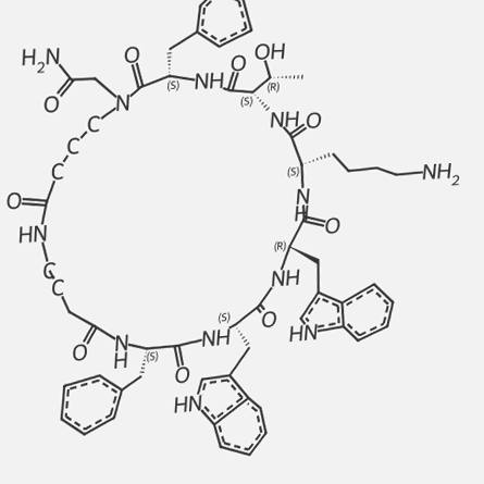 C[C@@H](O)[C@@H]1NC(=O)[C@H](CCCCN)NC(=O)[C@@H](Cc2c[nH]c3ccccc23)NC(=O)[C@H](Cc2c[nH]c3ccccc23)NC(=O)[C@H](Cc2ccccc2)NC(=O)CCCNC(=O)CCCN(CC(N)=O)C(=O)[C@H](Cc2ccccc2)NC1=O